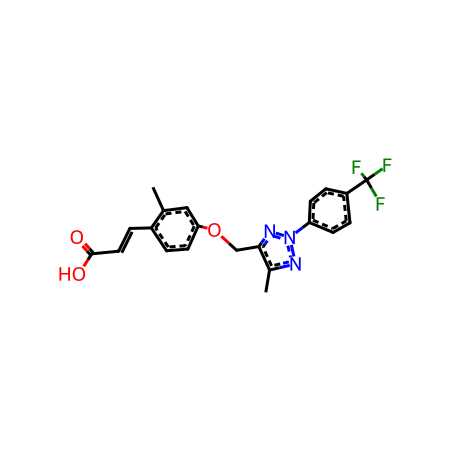 Cc1cc(OCc2nn(-c3ccc(C(F)(F)F)cc3)nc2C)ccc1/C=C/C(=O)O